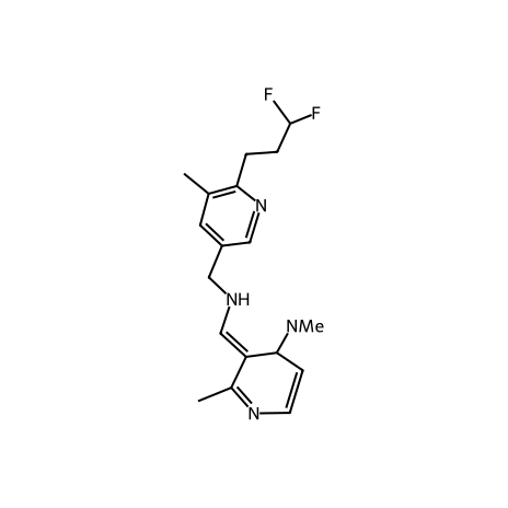 CNC1C=CN=C(C)/C1=C/NCc1cnc(CCC(F)F)c(C)c1